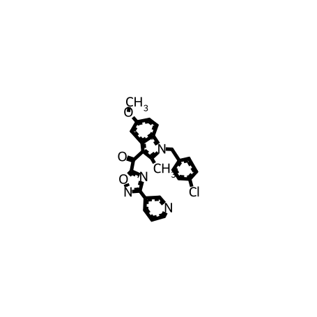 COc1ccc2c(c1)c(C(=O)c1nc(-c3cccnc3)no1)c(C)n2Cc1ccc(Cl)cc1